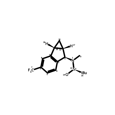 CN([C@H]1c2ccc(C(F)(F)F)cc2[C@@H]2C[C@@H]21)[S@+]([O-])C(C)(C)C